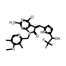 COc1c(C)cnc(CN2C(=O)/C(=C\c3ccc(C(O)C(F)(F)F)[nH]3)c3c(Cl)nc(N)nc32)c1C